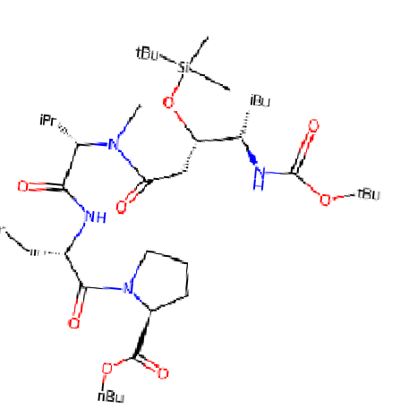 CCCCOC(=O)[C@@H]1CCCN1C(=O)[C@H](CC(C)C)NC(=O)[C@H](C(C)C)N(C)C(=O)C[C@H](O[Si](C)(C)C(C)(C)C)[C@H](NC(=O)OC(C)(C)C)[C@@H](C)CC